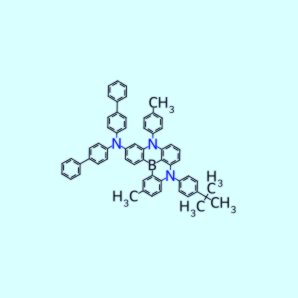 Cc1ccc(N2c3cc(N(c4ccc(-c5ccccc5)cc4)c4ccc(-c5ccccc5)cc4)ccc3B3c4cc(C)ccc4N(c4ccc(C(C)(C)C)cc4)c4cccc2c43)cc1